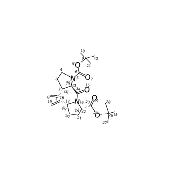 C=C[C@@H]1CCN(C(=O)OC(C)(C)C)[C@H]1C(=O)N1[C@@H](C=C)CC[C@H]1C(=O)OC(C)(C)C